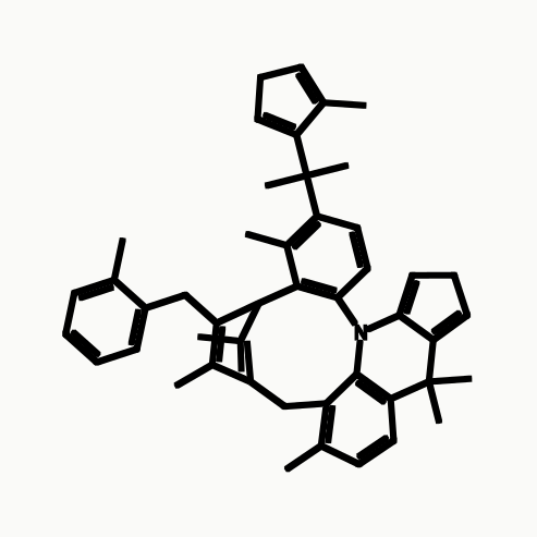 CC1=CCC=C1C(C)(C)c1ccc2c(c1C)C1C(C)=C(Cc3c(C)ccc4c3N2C2=CCC=C2C4(C)C)C(C)=C1Cc1ccccc1C